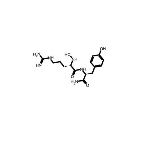 N=C(N)NCCC[C@H](NO)C(=O)N[C@@H](Cc1ccc(O)cc1)C(N)=O